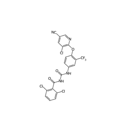 N#Cc1cnc(Oc2ccc(NC(=O)NC(=O)c3c(Cl)cccc3Cl)cc2C(F)(F)F)c(Cl)c1